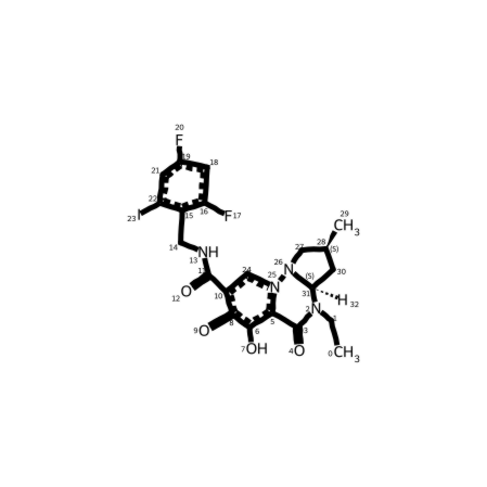 CCN1C(=O)c2c(O)c(=O)c(C(=O)NCc3c(F)cc(F)cc3I)cn2N2C[C@@H](C)C[C@@H]12